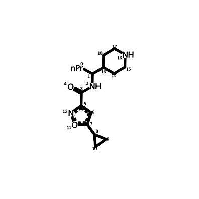 CCCC(NC(=O)c1cc(C2CC2)on1)C1CCNCC1